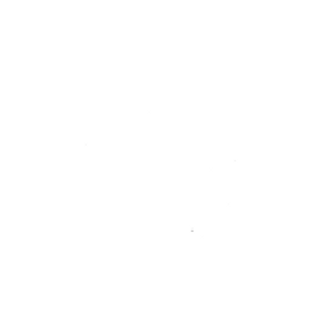 Bc1cc2c(oc3c(B)c(B)c(B)c(B)c32)c(B)c1B